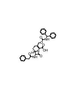 O=C(Cc1ccccc1)NC1C(=O)N2C(C(=O)O)=C(COC(=O)NC(c3ccccc3)c3ccccc3)CS[C@@H]12